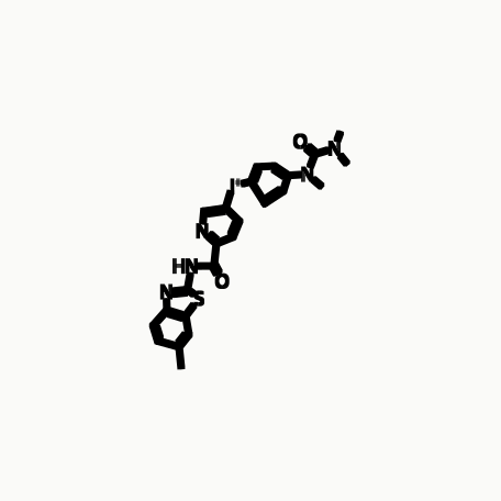 Cc1ccc2nc(NC(=O)c3ccc([I+]c4ccc(N(C)C(=O)N(C)C)cc4)cn3)sc2c1